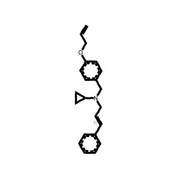 C=CCOc1ccc(CN(C/C=C/c2ccccc2)C2CC2)cc1